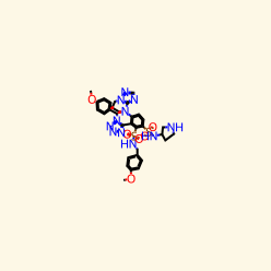 COc1ccc(CNS(=O)(=O)c2c(S(=O)(=O)NC3CCNC3)ccc(N3CCCn4ncnc43)c2-c2nnnn2Cc2ccc(OC)cc2)cc1